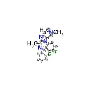 CC1N=C(c2ccccc2Cl)c2cc(F)ccc2-n2c(CN(C)C)cnc21